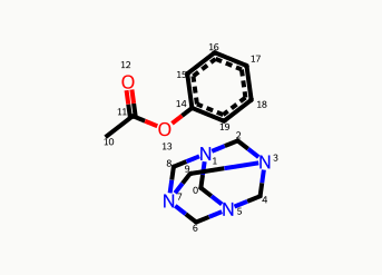 C1N2CN3CN1CN(C2)C3.CC(=O)Oc1ccccc1